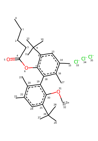 CCCCC(=O)Oc1c(C(C)(C)C)cc(C)c(C)c1-c1c(C)c(C)cc(C(C)(C)C)c1[O][Ti+3].[Cl-].[Cl-].[Cl-]